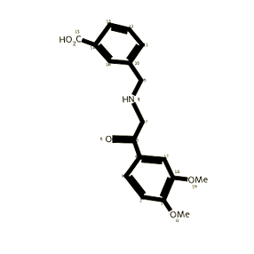 COc1ccc(C(=O)CNCc2cccc(C(=O)O)c2)cc1OC